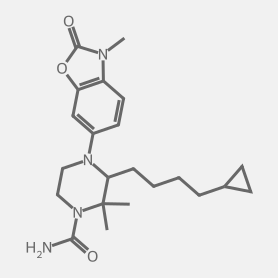 Cn1c(=O)oc2cc(N3CCN(C(N)=O)C(C)(C)C3CCCCC3CC3)ccc21